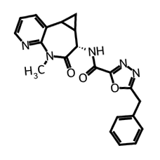 CN1C(=O)[C@@H](NC(=O)c2nnc(Cc3ccccc3)o2)C2CC2c2cccnc21